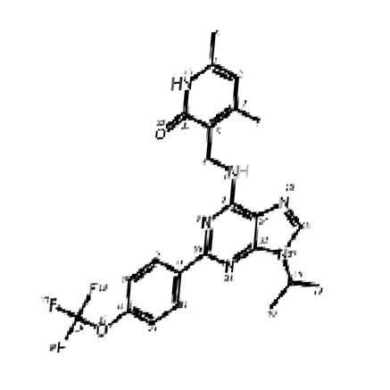 Cc1cc(C)c(CNc2nc(-c3ccc(OC(F)(F)F)cc3)nc3c2ncn3C(C)C)c(=O)[nH]1